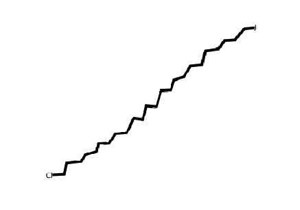 ClCCCCCCCCCCCCCCCCCCCCCCCCI